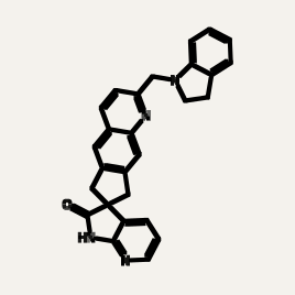 O=C1Nc2ncccc2C12Cc1cc3ccc(CN4CCc5ccccc54)nc3cc1C2